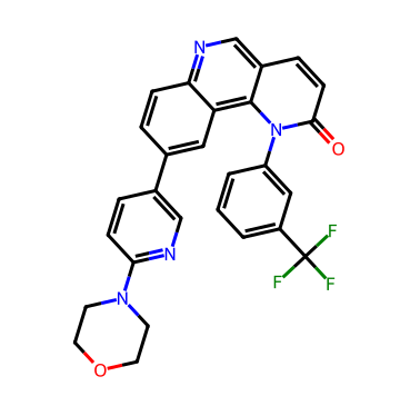 O=c1ccc2cnc3ccc(-c4ccc(N5CCOCC5)nc4)cc3c2n1-c1cccc(C(F)(F)F)c1